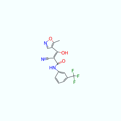 Cc1oncc1/C(O)=C(\C#N)C(=O)Nc1cccc(C(F)(F)F)c1